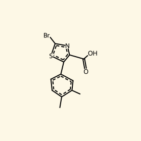 Cc1ccc(-c2sc(Br)nc2C(=O)O)cc1C